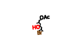 CC(=O)OCC=C(C)CC(O)C=C(C)CBr